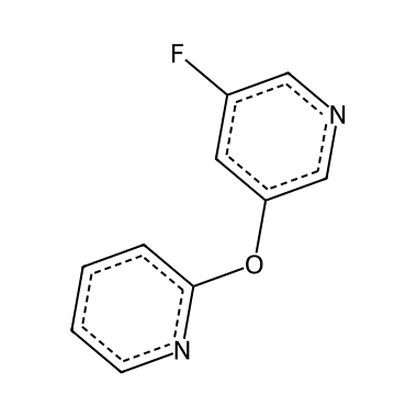 Fc1cncc(Oc2ccccn2)c1